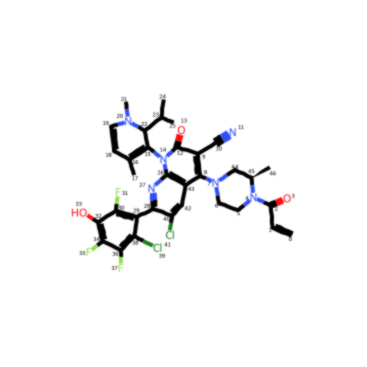 C=CC(=O)N1CCN(c2c(C#N)c(=O)n(C3=C(C)C=CN(C)C3C(C)C)c3nc(-c4c(F)c(O)c(F)c(F)c4Cl)c(Cl)cc23)C[C@H]1C